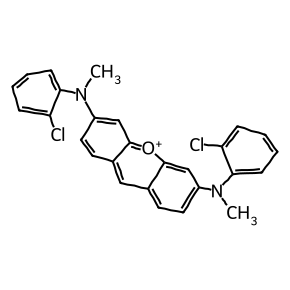 CN(c1ccc2cc3ccc(N(C)c4ccccc4Cl)cc3[o+]c2c1)c1ccccc1Cl